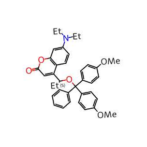 [CH2]C[C@H](OC(c1ccccc1)(c1ccc(OC)cc1)c1ccc(OC)cc1)c1cc(=O)oc2cc(N(CC)CC)ccc12